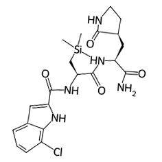 C[Si](C)(C)C[C@H](NC(=O)c1cc2cccc(Cl)c2[nH]1)C(=O)N[C@@H](C[C@@H]1CCNC1=O)C(N)=O